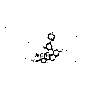 C#C[C@]1(O)CC[C@H]2[C@@H]3CCC4=CC(=O)CCC4=C3[C@@H](c3c(F)cc(N4CCOCC4)cc3F)C[C@@]21C